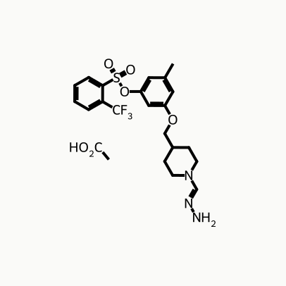 CC(=O)O.Cc1cc(OCC2CCN(C=NN)CC2)cc(OS(=O)(=O)c2ccccc2C(F)(F)F)c1